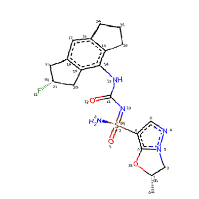 C[C@H]1Cn2ncc([S@](N)(=O)=NC(=O)Nc3c4c(cc5c3C[C@H](F)C5)CCC4)c2O1